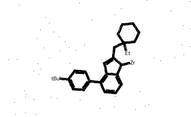 CCC1(CC2=Cc3c(-c4ccc(C(C)(C)C)cc4)cccc3[CH]2[Zr])CCCCC1